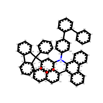 c1ccc(-c2ccccc2-c2ccc(N(c3cccc(C4(c5ccccc5)c5ccccc5-c5ccccc54)c3)c3c(-c4ccc5ccccc5c4)c4ccccc4c4ccccc34)cc2)cc1